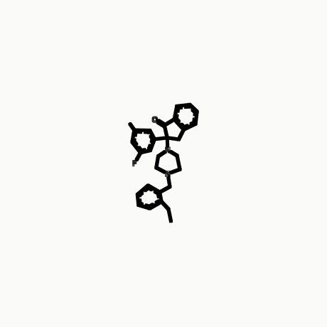 CCc1ccccc1CN1CCN(C2(c3cc(C)cc(F)c3)Cc3ccccc3C2=O)CC1